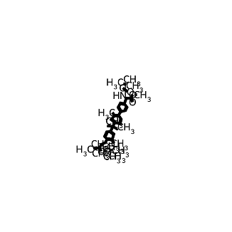 CCC(CC)(c1ccc(CCC(O[Si](C)(C)C(C)(C)C)C(C)(C)C)c(C)c1)c1ccc(-c2ccc([C@@H](NC(=O)OC(C)(C)C)C(=O)OC)cc2)c(C)c1